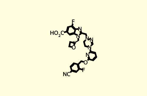 N#Cc1ccc(COc2cccc(N3C=NN(Cc4nc5c(F)cc(C(=O)O)cc5n4C[C@@H]4CCO4)CC3)n2)c(F)c1